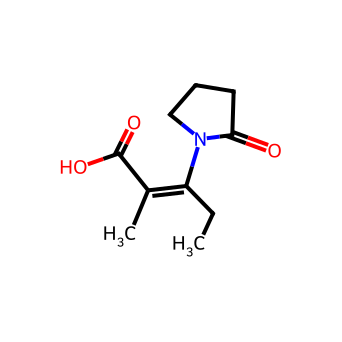 CCC(=C(C)C(=O)O)N1CCCC1=O